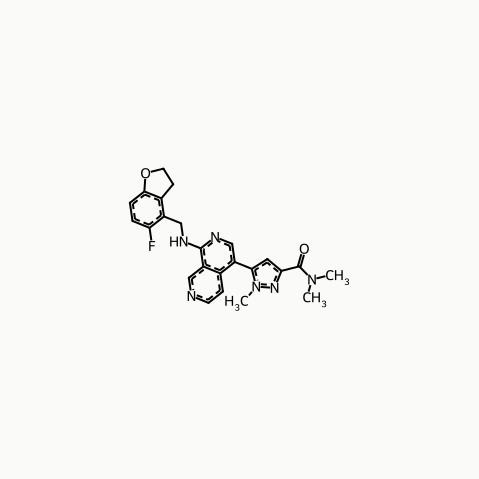 CN(C)C(=O)c1cc(-c2cnc(NCc3c(F)ccc4c3CCO4)c3cnccc23)n(C)n1